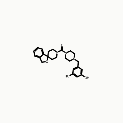 O=C(N1CCN(Cc2cc(O)cc(O)c2)CC1)N1CCC2(CC1)OCc1ccccc12